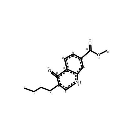 CCCCc1c[nH]c2cc(C(=O)OC)ccc2c1=O